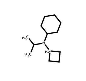 CC(C)N(C1CCCCC1)[SiH]1CCC1